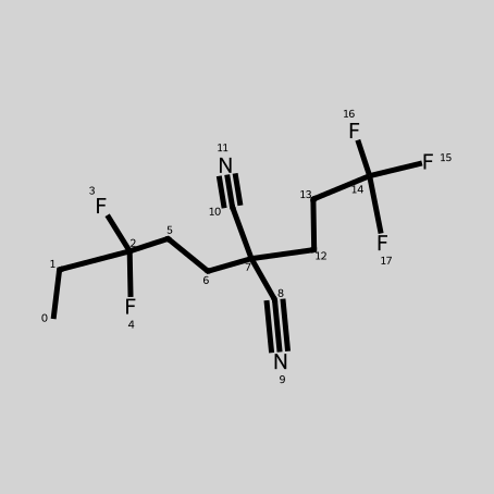 CCC(F)(F)CCC(C#N)(C#N)CCC(F)(F)F